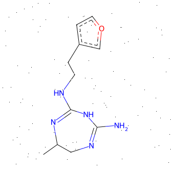 CC1CN=C(N)NC(NCCc2ccoc2)=N1